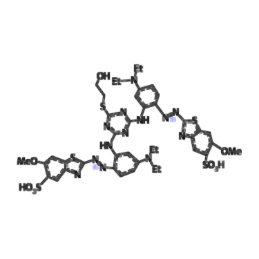 CCN(CC)c1ccc(/N=N/c2nc3cc(S(=O)(=O)O)c(OC)cc3s2)c(Nc2nc(Nc3cc(N(CC)CC)ccc3/N=N/c3nc4cc(S(=O)(=O)O)c(OC)cc4s3)nc(SCCO)n2)c1